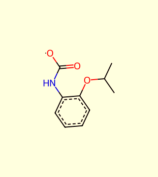 CC(C)Oc1ccccc1NC([O])=O